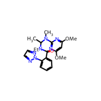 CCN(C(=O)c1ccccc1-n1nccn1)C(C)N(C)c1nc(OC)cc(OC)n1